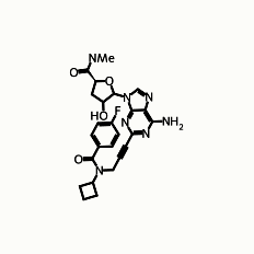 CNC(=O)[C@@H]1CC(O)C(n2cnc3c(N)nc(C#CCN(C(=O)c4ccc(F)cc4)C4CCC4)nc32)O1